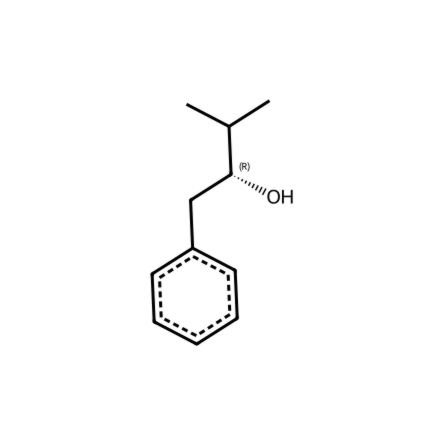 CC(C)[C@H](O)Cc1ccccc1